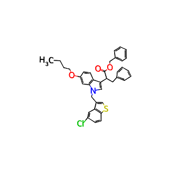 CCCCOc1ccc2c(C(Cc3ccccc3)C(=O)OCc3ccccc3)cn(Cc3csc4ccc(Cl)cc34)c2c1